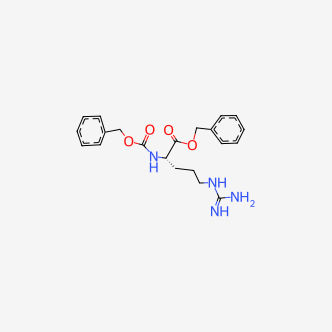 N=C(N)NCCC[C@H](NC(=O)OCc1ccccc1)C(=O)OCc1ccccc1